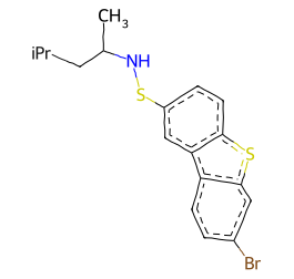 CC(C)CC(C)NSc1ccc2sc3cc(Br)ccc3c2c1